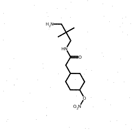 CC(C)(CN)CNC(=O)CC1CCC(O[N+](=O)[O-])CC1